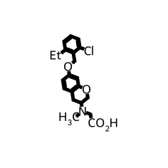 CCc1cccc(Cl)c1COc1ccc2c(c1)OCC(N(C)CC(=O)O)C2